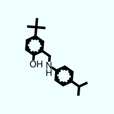 CC(C)c1ccc(NCc2cc(C(C)(C)C)ccc2O)cc1